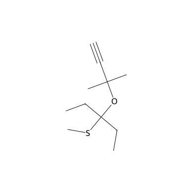 C#CC(C)(C)OC(CC)(CC)SC